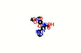 COc1cc2c(cc1-n1nc(C(=O)O)c3cnc(-c4cnn5cccnc45)cc31)OCCN2C(=O)OC(C)(C)C